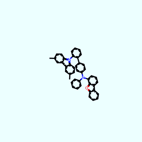 Cc1ccc2c(c1)c1cc(C)ccc1n2-c1ccccc1-c1ccc(N(c2ccccc2)c2cccc3c2oc2ccccc23)cc1